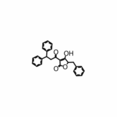 O=C(CC(c1ccccc1)c1ccccc1)C1=C(O)C(Cc2ccccc2)OC1=O